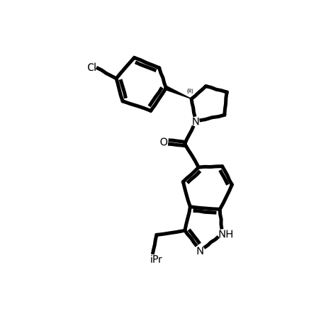 CC(C)Cc1n[nH]c2ccc(C(=O)N3CCC[C@@H]3c3ccc(Cl)cc3)cc12